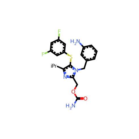 CC(C)c1nc(COC(N)=O)n(Cc2cccc(N)c2)c1Sc1cc(F)cc(F)c1